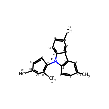 Cc1ccc2c(c1)c1cc(C)ccc1n2-c1ccc(C#N)cc1C(F)(F)F